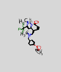 C=N\C(=C/C(=N\C)C(/C=C\C=O)=C\N(C)Cc1ccc(OC)cc1)C(F)(F)F